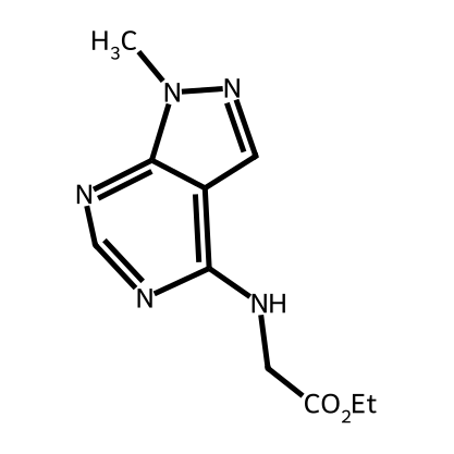 CCOC(=O)CNc1ncnc2c1cnn2C